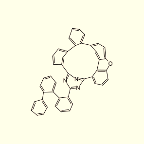 c1ccc(-c2ccccc2-c2ccccc2-c2nc3nc(n2)c2cccc4oc5ccc(cc5c42)c2ccccc2c2cccc3c2)cc1